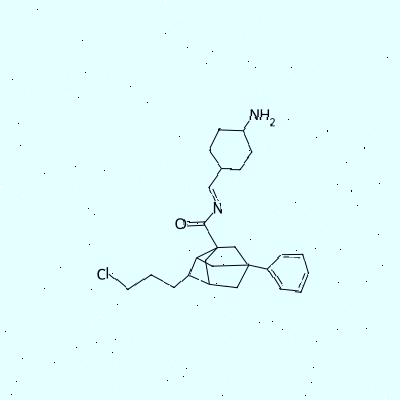 NC1CCC(/C=N/C(=O)C23CC4CC(c5ccccc5)(CC2C4CCCCl)C3)CC1